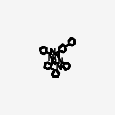 c1ccc(-c2ccc(-c3nc(-c4ccccc4)nc(N4c5ccccc5-c5ccccc5-n5c4nc4ccccc45)n3)cc2)cc1